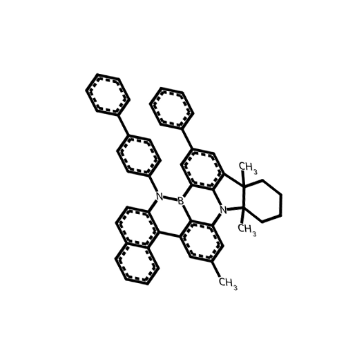 Cc1cc2c3c(c1)N1c4c(cc(-c5ccccc5)cc4C4(C)CCCCC14C)B3N(c1ccc(-c3ccccc3)cc1)c1ccc3ccccc3c1-2